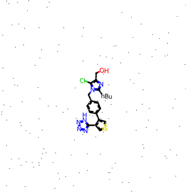 CCCCc1nc(CO)c(Cl)n1Cc1ccc(-c2cscc2-c2nnn[nH]2)cc1